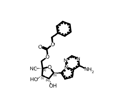 N#C[C@]1(COC(=O)OCc2ccccc2)O[C@@H](c2ccc3c(N)ncnn23)[C@H](O)[C@@H]1O